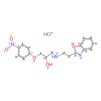 Cl.O=[N+]([O-])c1ccc(OCC(O)CNCCc2nc3ccccc3o2)cc1